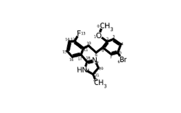 COc1ccc(Br)cc1CCc1c(F)cccc1C1=NCC(C)N1